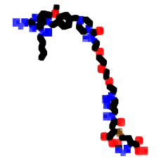 CCCCCNc1nc(N)nc2ccn(Cc3ccc(CN4CCN(C(=O)NCCOCCOCCOCCn5cc(CNC(=O)C[C@@H](SCC[C@H](N)C(=O)O)C(=O)O)nn5)CC4)cc3OC)c12